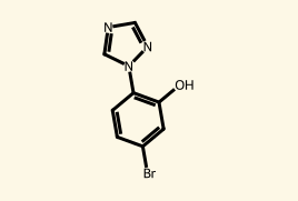 Oc1cc(Br)ccc1-n1cncn1